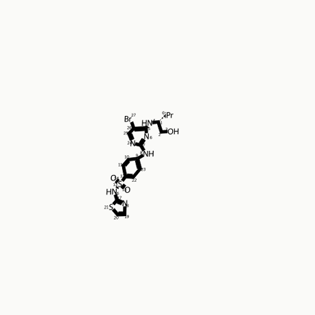 CC(C)[C@H](CO)Nc1nc(Nc2ccc(S(=O)(=O)Nc3nccs3)cc2)ncc1Br